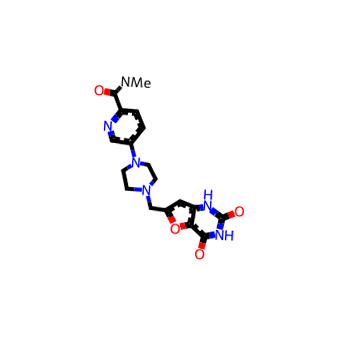 CNC(=O)c1ccc(N2CCN(Cc3cc4[nH]c(=O)[nH]c(=O)c4o3)CC2)cn1